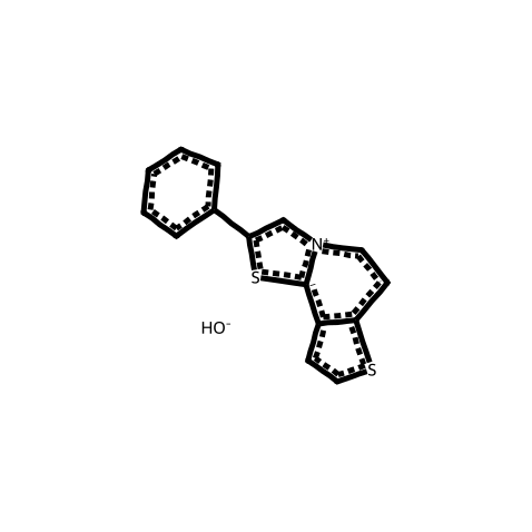 [OH-].c1ccc(-c2c[n+]3ccc4sccc4c3s2)cc1